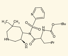 CC(C)CC(NC(=O)OC(C)(C)C)C(=O)N(C1CC(C)(C)CNC[C@@H]1O)S(=O)(=O)c1ccccn1